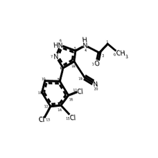 CCC(=O)Nc1[nH]nc(-c2ccc(Cl)c(Cl)c2Cl)c1C#N